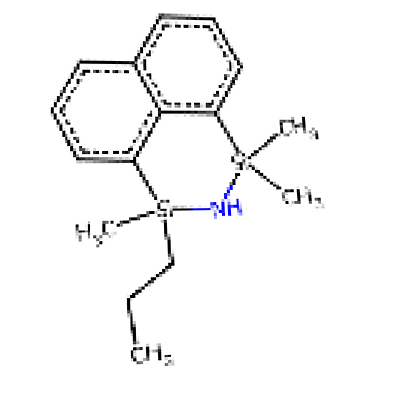 CCC[Si]1(C)N[Si](C)(C)c2cccc3cccc1c23